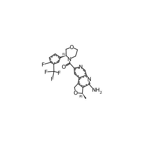 C[C@H]1OCc2c1c(N)nc1cnc(C(=O)N3CCOC[C@@H]3c3ccc(F)c(C(F)(F)F)c3)cc21